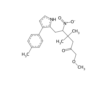 COCC(=O)CC(C)(C)C(Cc1[nH]ccc1-c1ccc(C)cc1)[N+](=O)[O-]